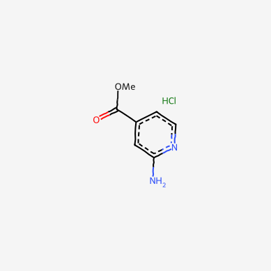 COC(=O)c1ccnc(N)c1.Cl